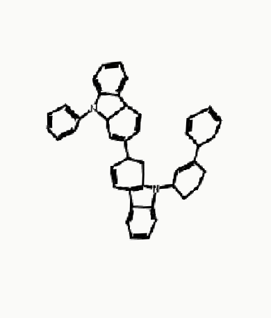 C1=CCC(C2=CC(n3c4c(c5ccccc53)C=CC(C3=CC5C(C=C3)c3ccccc3N5c3ccccc3)C4)CCC2)C=C1